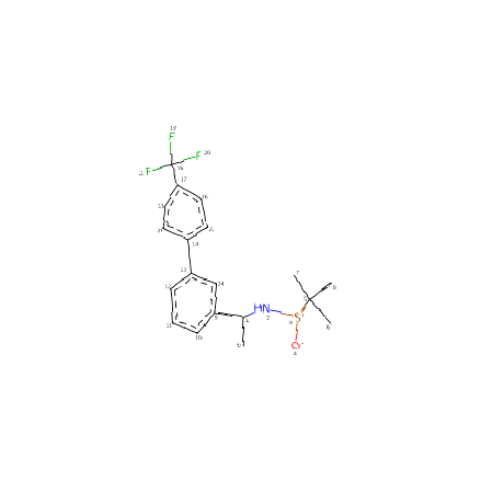 CC(N[S+]([O-])C(C)(C)C)c1cccc(-c2ccc(C(F)(F)F)cc2)c1